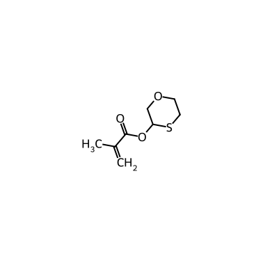 C=C(C)C(=O)OC1COCCS1